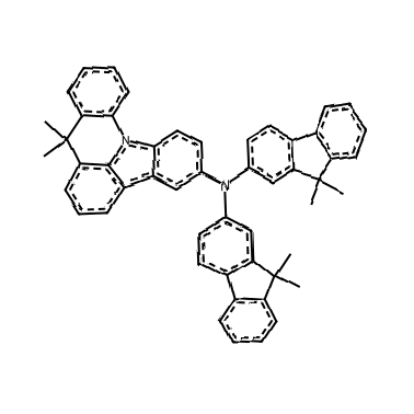 CC1(C)c2ccccc2-c2ccc(N(c3ccc4c(c3)C(C)(C)c3ccccc3-4)c3ccc4c(c3)c3cccc5c3n4-c3ccccc3C5(C)C)cc21